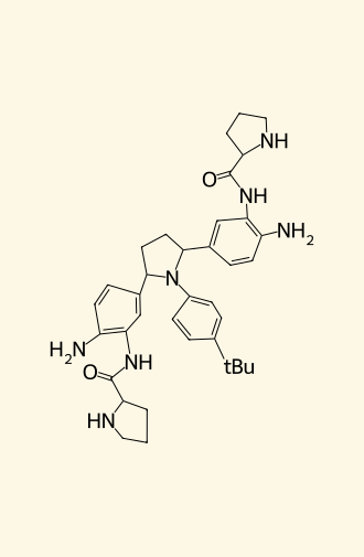 CC(C)(C)c1ccc(N2C(c3ccc(N)c(NC(=O)C4CCCN4)c3)CCC2c2ccc(N)c(NC(=O)C3CCCN3)c2)cc1